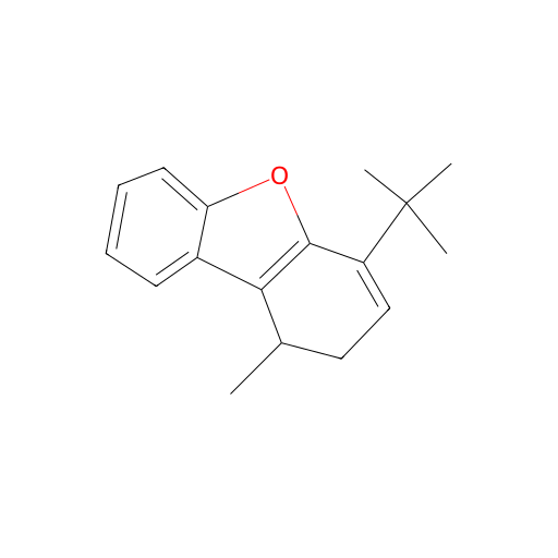 CC1CC=C(C(C)(C)C)c2oc3ccccc3c21